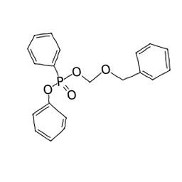 O=P(OCOCc1ccccc1)(Oc1ccccc1)c1ccccc1